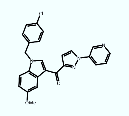 COc1ccc2c(c1)c(C(=O)c1ccn(-c3cccnc3)n1)cn2Cc1ccc(Cl)cc1